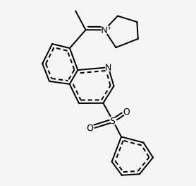 CC(c1cccc2cc(S(=O)(=O)c3ccccc3)cnc12)=[N+]1CCCC1